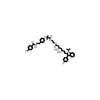 CC(C)n1c(/C=C/C(O)CC(O)CC(=O)OCCOC(=O)C(C)(C)Oc2ccc(CCNC(=O)c3ccc(Cl)cc3)cc2)c(-c2ccc(F)cc2)c2ccccc21